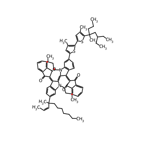 C/C=C\C(C)(CCCCCCC)c1ccc2c(=C3C(=O)c4ccccc4C3=O)/c(=c3/c(=C4C(=O)c5ccccc5C4=O)c4ccc(-c5cc(C)c(-c6cc(C)c(C(C)(CCC)CC(CC)CC)s6)s5)cc4n3CCCC)n(CCCC)c2c1